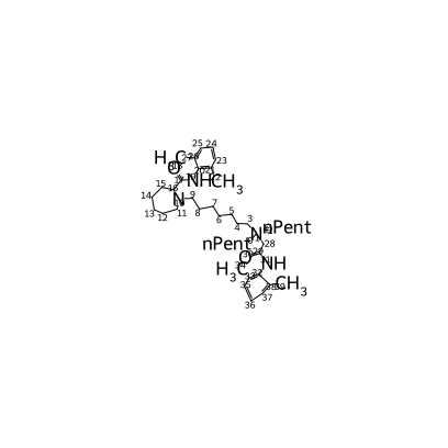 CCCCC[N+](CCCCC)(CCCCCCCN1CCCCCC1C(=O)Nc1c(C)cccc1C)CC(=O)Nc1c(C)cccc1C